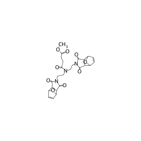 COC(=O)CCC(=O)N(CCN1C(=O)C2C3C=CC(O3)C2C1=O)CCN1C(=O)C2C3C=CC(O3)C2C1=O